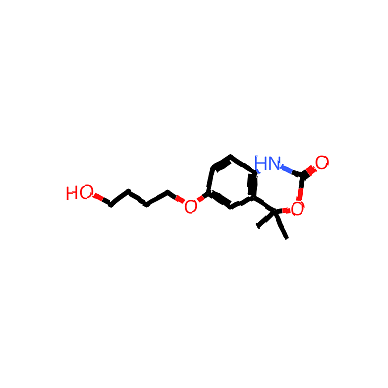 CC1(C)OC(=O)Nc2ccc(OCCCCO)cc21